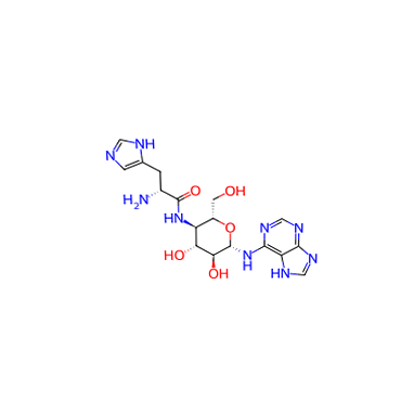 N[C@H](Cc1cnc[nH]1)C(=O)N[C@@H]1[C@@H](O)[C@H](O)[C@@H](Nc2ncnc3nc[nH]c23)O[C@H]1CO